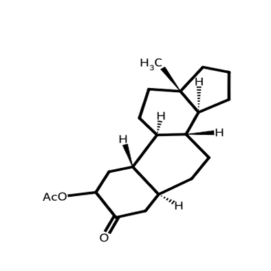 CC(=O)OC1C[C@H]2[C@@H](CC[C@@H]3[C@@H]2CC[C@]2(C)CCC[C@@H]32)CC1=O